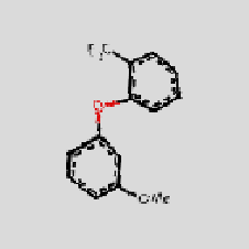 COc1cccc(Oc2ccccc2C(F)(F)F)c1